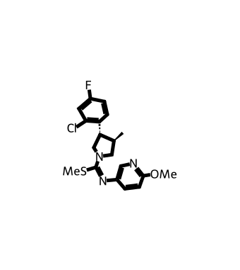 COc1ccc(/N=C(/SC)N2C[C@H](c3ccc(F)cc3Cl)[C@@H](C)C2)cn1